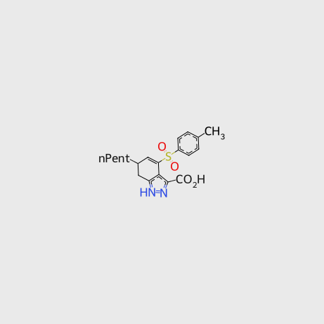 CCCCCC1C=C(S(=O)(=O)c2ccc(C)cc2)c2c(C(=O)O)n[nH]c2C1